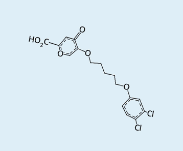 O=C(O)c1cc(=O)c(OCCCCCOc2ccc(Cl)c(Cl)c2)co1